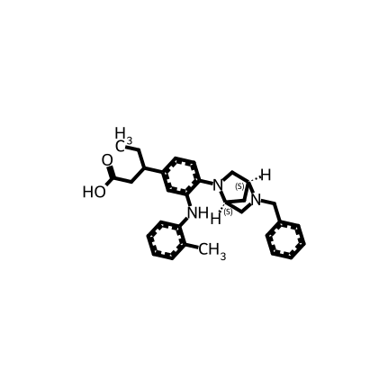 CCC(CC(=O)O)c1ccc(N2C[C@@H]3C[C@H]2CN3Cc2ccccc2)c(Nc2ccccc2C)c1